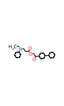 CCN(CCC(=O)OCC(=O)c1ccc(-c2ccccc2)cc1)c1ccccc1